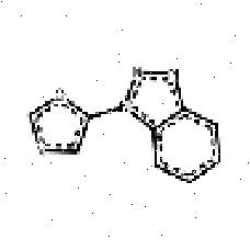 c1ccc2c(c1)nnn2-c1cnco1